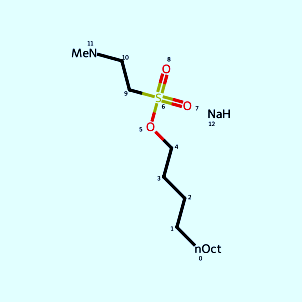 CCCCCCCCCCCCOS(=O)(=O)CCNC.[NaH]